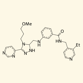 CCc1cnccc1CNC(=O)c1cccc(NCC2NN=C(c3ccncn3)N2CCCOC)c1